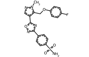 Cn1ncc(-c2nc(-c3ccc(S(N)(=O)=O)cc3)no2)c1COc1ccc(F)cc1